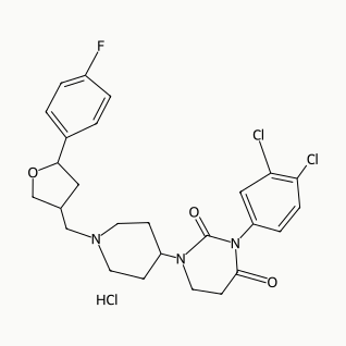 Cl.O=C1CCN(C2CCN(CC3COC(c4ccc(F)cc4)C3)CC2)C(=O)N1c1ccc(Cl)c(Cl)c1